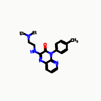 CCN(CC)CCNc1nc2cccnc2n(-c2ccc(C)cc2)c1=O